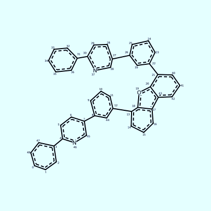 c1ccc(-c2ccc(-c3cccc(-c4cccc5c4oc4c(-c6cccc(-c7ccc(-c8ccccc8)nc7)c6)cccc45)c3)cn2)cc1